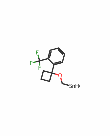 FC(F)(F)c1ccccc1C1(O[CH2][SnH])CCC1